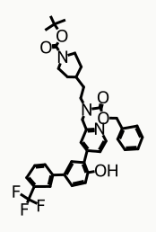 CC(C)(C)OC(=O)N1CCC(CCN(Cc2cc(-c3cc(-c4cccc(C(F)(F)F)c4)ccc3O)ccn2)C(=O)OCc2ccccc2)CC1